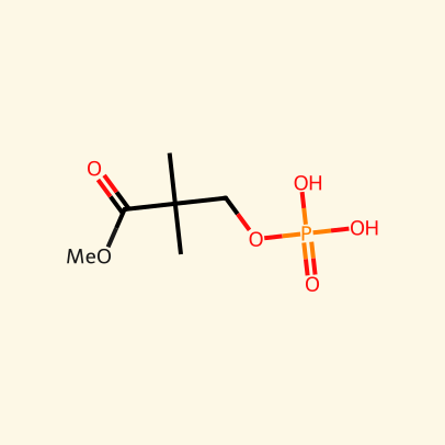 COC(=O)C(C)(C)COP(=O)(O)O